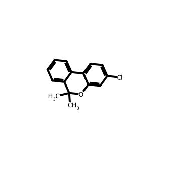 CC1(C)Oc2cc(Cl)ccc2-c2ccccc21